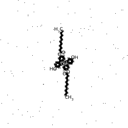 CCCCCCCCCCCC(=O)Oc1ccc(S(=O)(=O)c2ccc(OC(=O)CCCCCCCCCCC)cc2-c2ccc(O)cc2)c(-c2ccc(O)cc2)c1